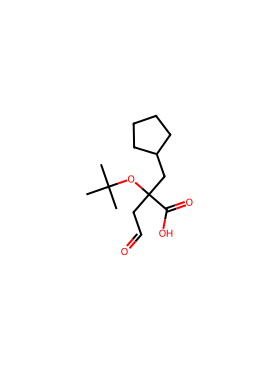 CC(C)(C)OC(CC=O)(CC1CCCC1)C(=O)O